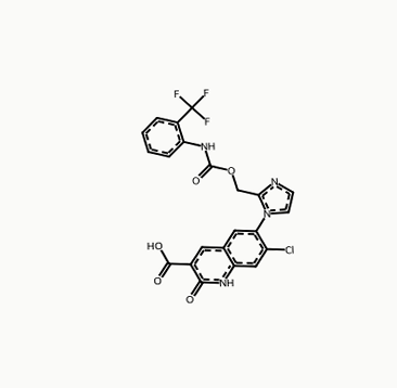 O=C(Nc1ccccc1C(F)(F)F)OCc1nccn1-c1cc2cc(C(=O)O)c(=O)[nH]c2cc1Cl